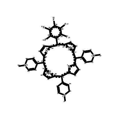 CN1C=CC(c2c3nc(c(C4=CCN(C)C=C4)c4ccc([nH]4)c(-c4c(F)c(F)c(F)c(F)c4F)c4nc(c(C5=CCN(C)C=C5)c5ccc2[nH]5)C=C4)C=C3)=CC1